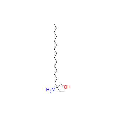 CCCCCCCCCCCCCCCC(N)(CC)CO